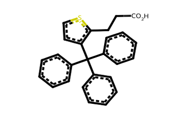 O=C(O)CCc1sccc1C(c1ccccc1)(c1ccccc1)c1ccccc1